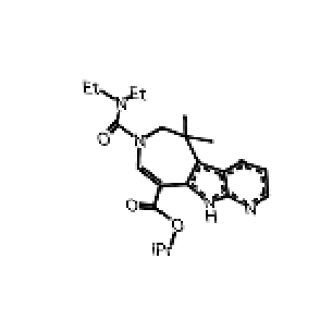 CCN(CC)C(=O)N1C=C(C(=O)OC(C)C)c2[nH]c3ncccc3c2C(C)(C)C1